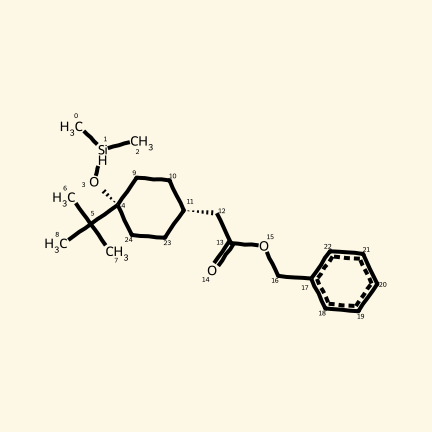 C[SiH](C)O[C@]1(C(C)(C)C)CC[C@H](CC(=O)OCc2ccccc2)CC1